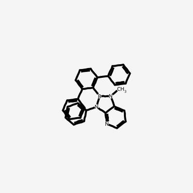 CN1B(c2c(-c3ccccc3)cccc2-c2ccccc2)N(c2ccccc2)c2ncccc21